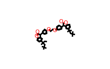 CCC(C)(CC(C)(C)C)c1ccc2c(c1)C(c1ccc(OCCOc3ccc(C4C(=O)Oc5ccc(C(C)(C)CC(C)(C)C)cc54)cc3)cc1)C(=O)O2